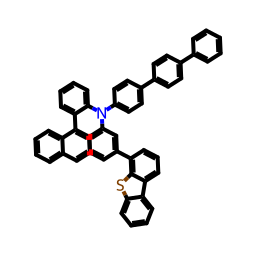 c1ccc(-c2ccc(-c3ccc(N(c4cccc(-c5cccc6c5sc5ccccc56)c4)c4ccccc4-c4cccc5ccccc45)cc3)cc2)cc1